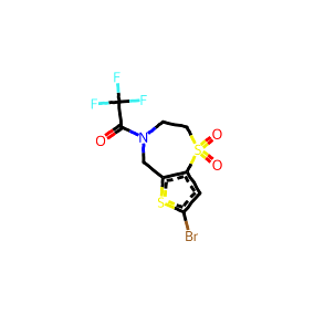 O=C(N1CCS(=O)(=O)c2cc(Br)sc2C1)C(F)(F)F